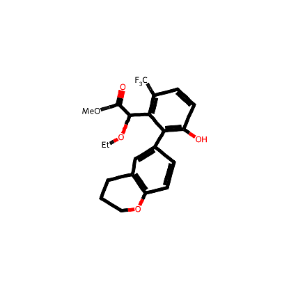 CCOC(C(=O)OC)c1c(C(F)(F)F)ccc(O)c1-c1ccc2c(c1)CCCO2